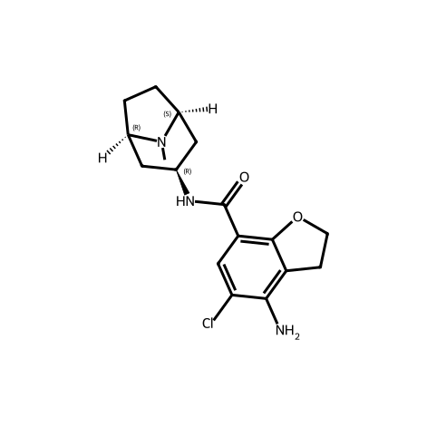 CN1[C@@H]2CC[C@H]1C[C@@H](NC(=O)c1cc(Cl)c(N)c3c1OCC3)C2